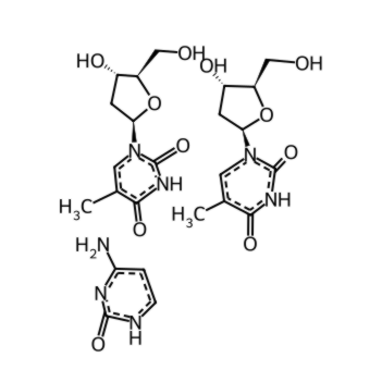 Cc1cn([C@H]2C[C@H](O)[C@@H](CO)O2)c(=O)[nH]c1=O.Cc1cn([C@H]2C[C@H](O)[C@@H](CO)O2)c(=O)[nH]c1=O.Nc1cc[nH]c(=O)n1